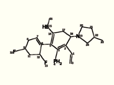 C=CC1=C(P)C(C2=CCC(F)CC2F)=C(BC)CC1N1CCC(C)C1